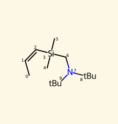 C/C=C\[Si](C)(C)CN(C(C)(C)C)C(C)(C)C